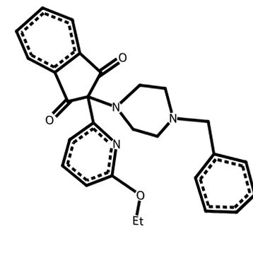 CCOc1cccc(C2(N3CCN(Cc4ccccc4)CC3)C(=O)c3ccccc3C2=O)n1